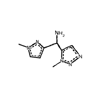 Cn1ccc(C(N)c2cnnn2C)n1